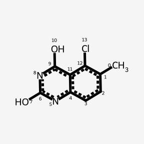 Cc1ccc2nc(O)nc(O)c2c1Cl